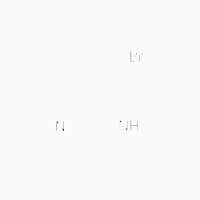 BrC1[C]N=CN1